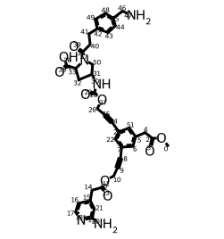 COC(=O)Cc1cc(C#CCOC(=O)Cc2ccnc(N)c2)cc(C#CCOC(=O)NC2CC(C(=O)O)N(C(=O)CCc3ccc(CN)cc3)C2)c1